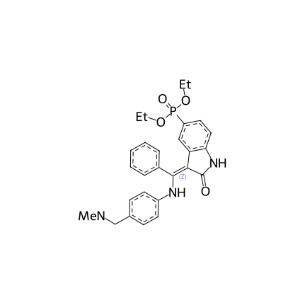 CCOP(=O)(OCC)c1ccc2c(c1)/C(=C(/Nc1ccc(CNC)cc1)c1ccccc1)C(=O)N2